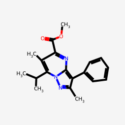 COC(=O)c1nc2c(-c3ccccc3)c(C)nn2c(C(C)C)c1C